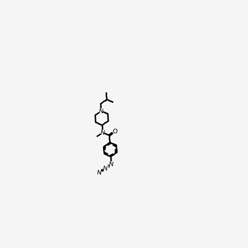 C[C](C)CN1CCC(N(C)C(=O)c2ccc(N=[N+]=[N-])cc2)CC1